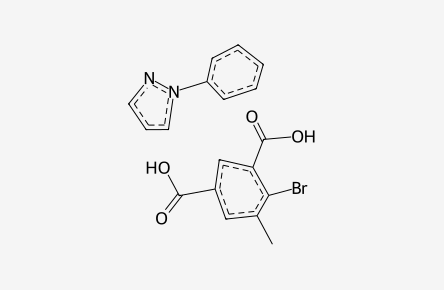 Cc1cc(C(=O)O)cc(C(=O)O)c1Br.c1ccc(-n2cccn2)cc1